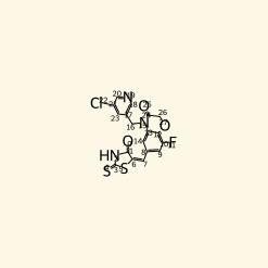 O=C1NC(=S)SC1=Cc1cc(F)c2c(c1)N(Cc1cncc(Cl)c1)C(=O)CO2